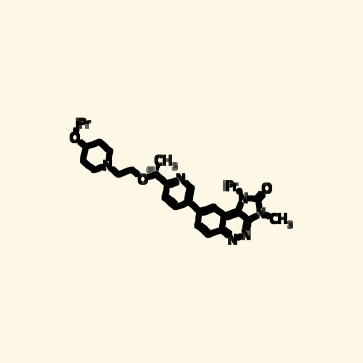 CC(C)OC1CCN(CCO[C@H](C)c2ccc(-c3ccc4nnc5c(c4c3)n(C(C)C)c(=O)n5C)cn2)CC1